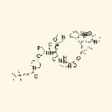 C=C/C(=C(\N=C/C)[C@H](C)OC)c1c2c3cc(ccc3n1CC)N1CCO[C@@H](C[C@H](NC(=O)[C@@H](COC3CCN(C(=O)C#CC(C)(C)N(C)C)CC3)C(C)C)C(=O)N3CCC[C@H](N3)C(=O)OCC(C)(C)C2)C1